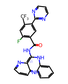 N=C1C=CC=N/C1=C(\NC(=O)c1cc(-c2ncccn2)c(C(F)(F)F)cc1F)Nc1ccccc1